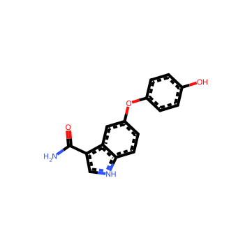 NC(=O)c1c[nH]c2ccc(Oc3ccc(O)cc3)cc12